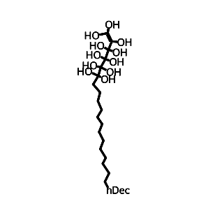 CCCCCCCCCCCCCCCCCCCCCCCC(O)(O)C(O)(O)C(O)(O)C(O)(O)C(O)=C(O)O